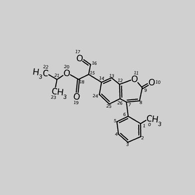 Cc1ccccc1-c1cc(=O)oc2cc(C(C=O)C(=O)OC(C)C)ccc12